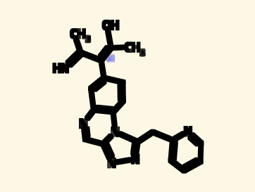 CC(=N)/C(=C(/C)O)c1ccc2c(c1)ncc1nnc(Cc3ccccn3)n12